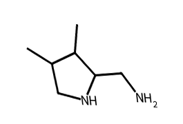 CC1CNC(CN)C1C